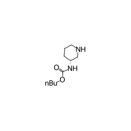 CCCCOC(=O)N[C@@H]1CCCNC1